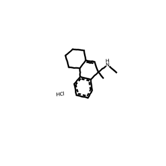 CNC1(C)C=C2CCCCC2c2ccccc21.Cl